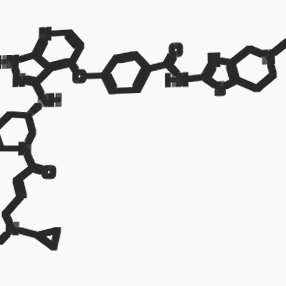 CN1CCc2sc(NC(=O)c3ccc(Oc4ccnc5[nH]nc(N[C@@H]6CCCN(C(=O)C=CCN(C)C7CC7)C6)c45)cc3)nc2C1